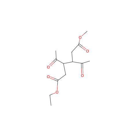 CCOC(=O)CC(C(C)=O)C(CC(=O)OC)C(C)=O